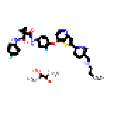 COCCNCc1ccc(-c2cc3nccc(Oc4ccc(NC(=O)C5(C(=O)Nc6ccc(F)cc6)CC5)cc4F)c3s2)nc1.O=C(O)C(O)C(O)C(=O)O